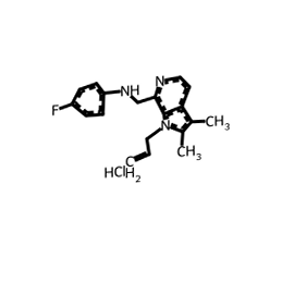 C=CCn1c(C)c(C)c2ccnc(CNc3ccc(F)cc3)c21.Cl